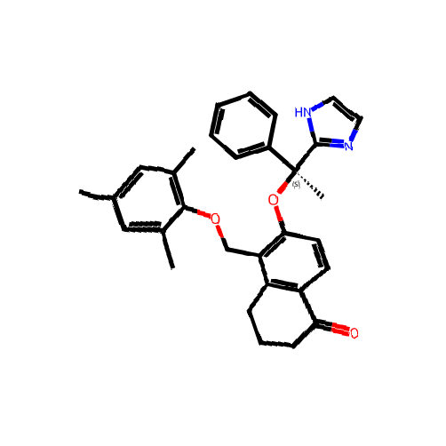 Cc1cc(C)c(OCc2c(O[C@@](C)(c3ccccc3)c3ncc[nH]3)ccc3c2CCCC3=O)c(C)c1